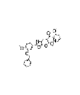 COC(=O)C(Cc1coc(-c2ccc(OC)c(OCc3ccccc3)c2)n1)C(=O)c1ncccc1OC